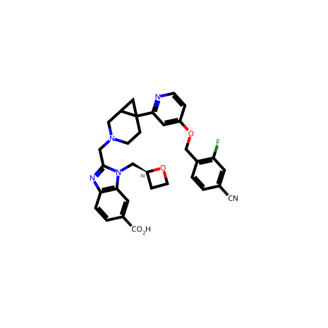 N#Cc1ccc(COc2ccnc(C34CCN(Cc5nc6ccc(C(=O)O)cc6n5C[C@@H]5CCO5)CC3C4)c2)c(F)c1